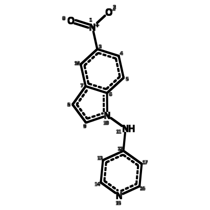 O=[N+]([O-])c1ccc2c(ccn2Nc2ccncc2)c1